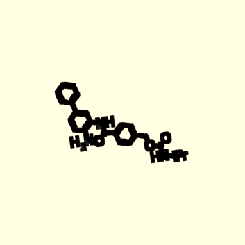 CC(C)NC(=O)OCc1ccc(C(=O)Nc2cc(-c3ccccc3)ccc2N)cc1